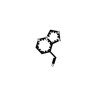 O=[C]c1ccnn2cnnc12